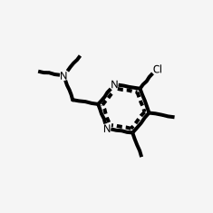 Cc1nc(CN(C)C)nc(Cl)c1C